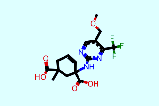 COCc1cnc(NC2(C(=O)O)C=CCC(C)(C(=O)O)C2)nc1C(F)(F)F